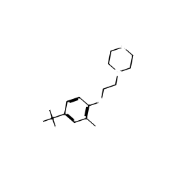 Cc1cc(C(F)(F)F)ccc1OCCN1CCNCC1